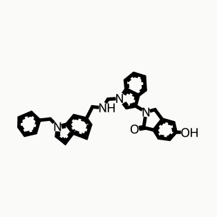 O=C1c2ccc(O)cc2CN1c1cn(CNCc2ccc3ccn(Cc4ccccc4)c3c2)c2ccccc12